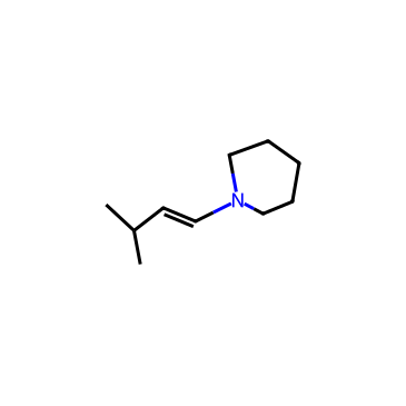 CC(C)C=CN1CCCCC1